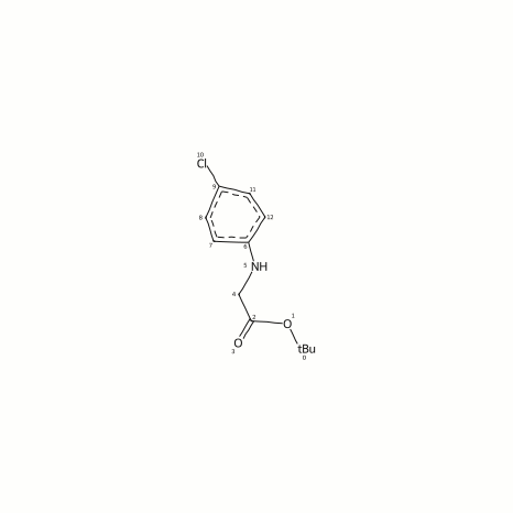 CC(C)(C)OC(=O)CNc1ccc(Cl)cc1